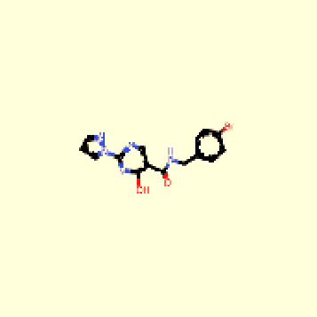 O=C(NCc1ccc(Br)cc1)c1cnc(-n2cccn2)nc1O